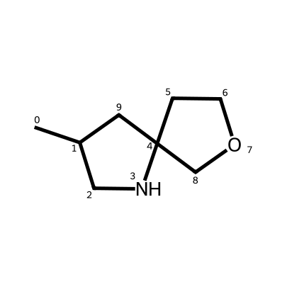 CC1CNC2(CCOC2)C1